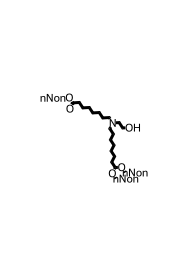 CCCCCCCCCOC(=O)CCCCCCCN(CCO)CCCCCCCC(OCCCCCCCCC)OCCCCCCCCC